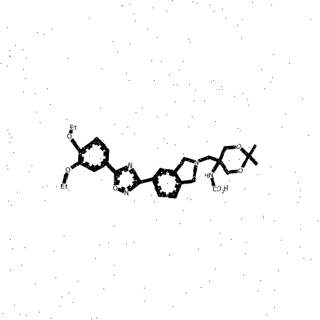 CCOc1ccc(-c2nc(-c3ccc4c(c3)CN(CC3(NC(=O)O)COC(C)(C)OC3)C4)no2)cc1OCC